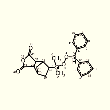 C[Si](C)(OO[SiH](c1ccccc1)c1ccccc1)C1CC2CC1C1C(=O)OC(=O)C21